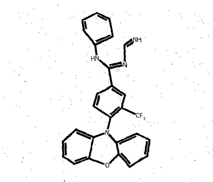 N=C/N=C(\Nc1ccccc1)c1ccc(N2c3ccccc3Oc3ccccc32)c(C(F)(F)F)c1